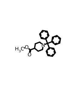 COC(=O)C1CCN(C(c2ccccc2)(c2ccccc2)c2ccccc2)CC1